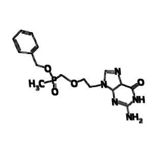 CP(=O)(COCCN1C=NC2C(=O)NC(N)=NC21)OCc1ccccc1